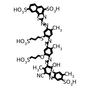 Cc1cc(N=Nc2cc(OCCCS(=O)(=O)O)c(N=Nc3c(C)c(C#N)c4nc5cc(S(=O)(=O)O)c(C)cc5n4c3O)cc2C)c(SCCCS(=O)(=O)O)cc1N=Nc1nc2c(S(=O)(=O)O)cc3ccc(S(=O)(=O)O)cc3c2s1